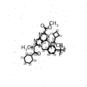 COC(=O)c1nc(N[C@H](C)C2CCC2)c2c(n1)nc(N(C)C(=O)C1CCCCC1)n2Cc1ccc(C(F)(F)F)cc1